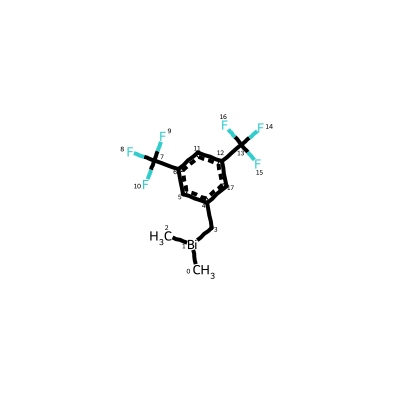 [CH3][Bi]([CH3])[CH2]c1cc(C(F)(F)F)cc(C(F)(F)F)c1